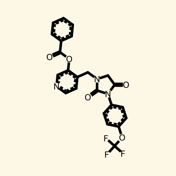 O=C(Oc1cnccc1CN1CC(=O)N(c2ccc(OC(F)(F)F)cc2)C1=O)c1ccccc1